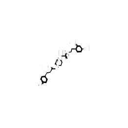 COc1ccc(CCC(O)CN2CCN(CC(=O)NCCc3ccc(Cl)cc3Cl)CC2)cc1